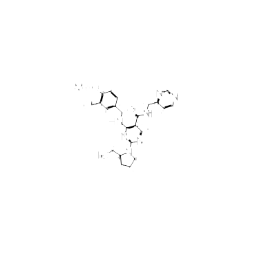 COc1ccc(CNc2nc(N3CCCC3CO)ncc2C(=O)NCc2ccncn2)cc1Cl